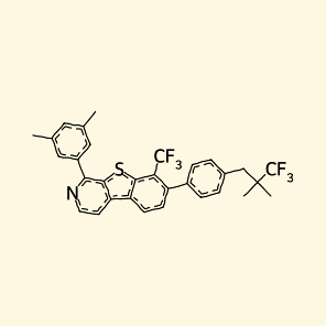 Cc1cc(C)cc(-c2nccc3c2sc2c(C(F)(F)F)c(-c4ccc(CC(C)(C)C(F)(F)F)cc4)ccc23)c1